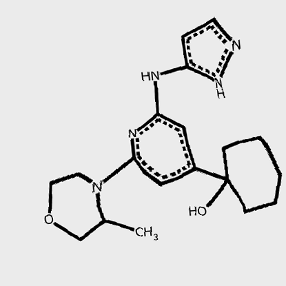 CC1COCCN1c1cc(C2(O)CCCCC2)cc(Nc2ccn[nH]2)n1